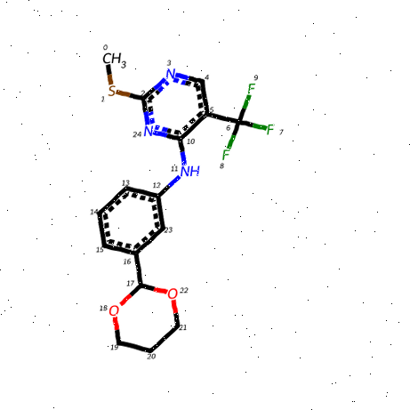 CSc1ncc(C(F)(F)F)c(Nc2cccc(C3OCCCO3)c2)n1